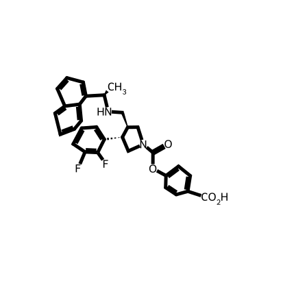 C[C@@H](NC[C@H]1CN(C(=O)Oc2ccc(C(=O)O)cc2)C[C@@H]1c1cccc(F)c1F)c1cccc2ccccc12